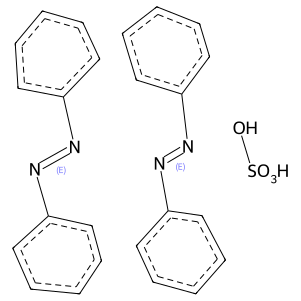 O=S(=O)(O)O.c1ccc(/N=N/c2ccccc2)cc1.c1ccc(/N=N/c2ccccc2)cc1